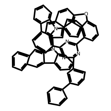 c1ccc(-c2cccc(-c3nc(-c4cccc5oc6ccc7ccc(-n8c9ccccc9c9cc%10ccccc%10cc98)cc7c6c45)nc(-c4cccc5c6ccccc6n(-c6ccccc6)c45)n3)c2)cc1